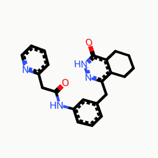 O=C(Cc1ccccn1)Nc1cccc(Cc2n[nH]c(=O)c3c2CCCC3)c1